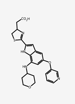 O=C(O)CC1CSC(c2cc3cc(Oc4cccnc4)cc(NC4CCOCC4)c3[nH]2)=N1